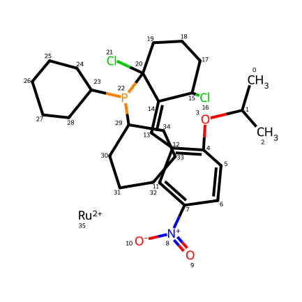 CC(C)Oc1ccc([N+](=O)[O-])cc1C=C1C(Cl)CCCC1(Cl)P(C1CCCCC1)C1CCCCC1.[Ru+2]